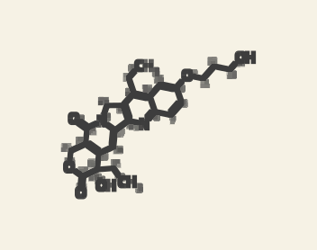 CCc1c2c(nc3ccc(OCCCO)cc13)-c1cc3c(c(=O)n1C2)COC(=O)[C@]3(O)CC